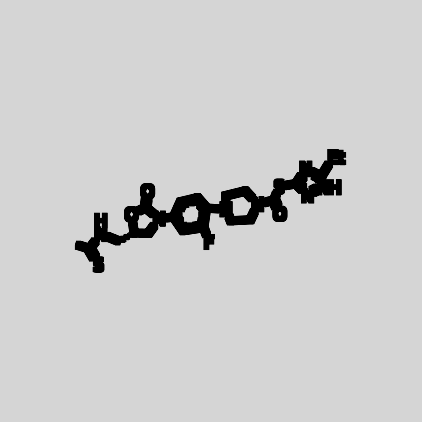 CCc1nc(SC(=O)N2CCN(c3ccc(N4C[C@H](CNC(C)=S)OC4=O)cc3F)CC2)n[nH]1